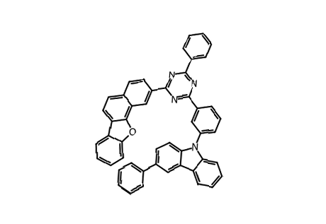 c1ccc(-c2ccc3c(c2)c2ccccc2n3-c2cccc(-c3nc(-c4ccccc4)nc(-c4ccc5ccc6c7ccccc7oc6c5c4)n3)c2)cc1